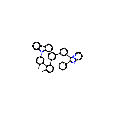 Cc1ccc(-n2c3ccccc3c3ccccc32)cc1-c1c(C)cccc1-c1cccc(-c2cccc(-c3c(-c4ccccc4)nc4ccccn34)c2)c1